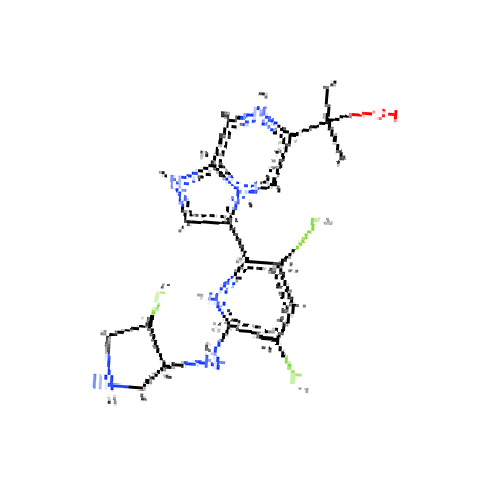 CC(C)(O)c1cn2c(-c3nc(NC4CNCC4F)c(F)cc3F)cnc2cn1